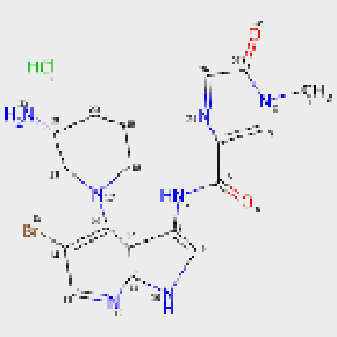 Cl.Cn1cc(C(=O)Nc2c[nH]c3ncc(Br)c(N4CCC[C@@H](N)C4)c23)ncc1=O